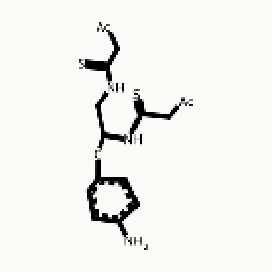 CC(=O)CC(=S)NCC(Cc1ccc(N)cc1)NC(=S)CC(C)=O